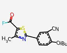 Cc1nc(-c2ccc(OCC(C)C)c(C#N)c2)sc1C(=O)F